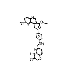 CCOC(=O)c1cnc2ccc(OC)nc2c1CCC12CCC(NCc3ccc4c(n3)NC(=O)CO4)(CC1)CC2